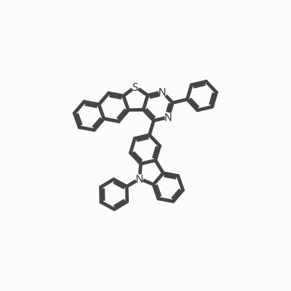 c1ccc(-c2nc(-c3ccc4c(c3)c3ccccc3n4-c3ccccc3)c3c(n2)sc2cc4ccccc4cc23)cc1